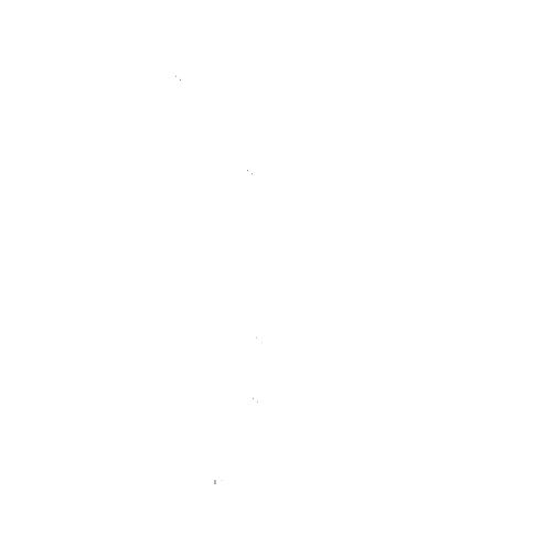 CC(C)CCNc1nc(-c2ccc(CNc3c(Cl)ccc4c3CCNCC4)cc2)cs1.O=C(O)CCC(=O)O